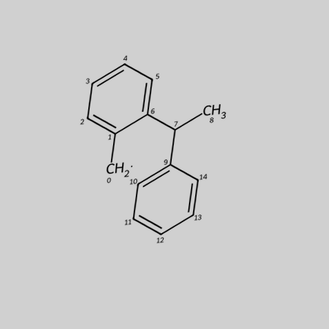 [CH2]c1ccccc1C(C)c1ccccc1